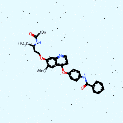 COc1cc2c(Oc3ccc(NC(=O)c4ccccc4)cc3)ccnc2cc1OCCC(NC(=O)C(C)(C)C)C(=O)O